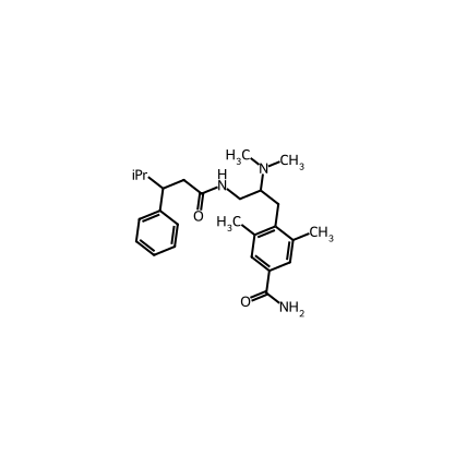 Cc1cc(C(N)=O)cc(C)c1CC(CNC(=O)CC(c1ccccc1)C(C)C)N(C)C